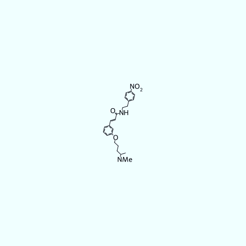 CNC(C)CCCOc1cccc(C=CC(=O)NCCc2ccc([N+](=O)[O-])cc2)c1